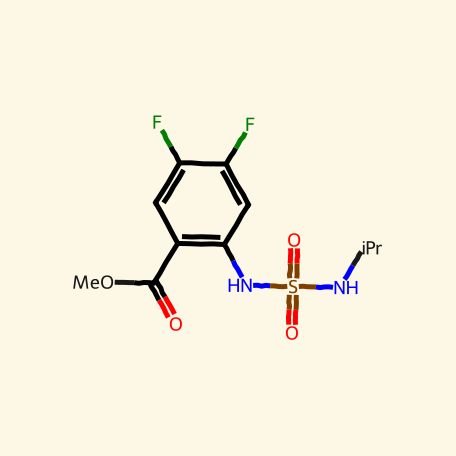 COC(=O)c1cc(F)c(F)cc1NS(=O)(=O)NC(C)C